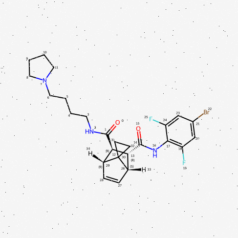 O=C(NCCCCN1CCCC1)[C@H]1[C@H](C(=O)Nc2c(F)cc(Br)cc2F)[C@@H]2C=C[C@H]1C21CC1